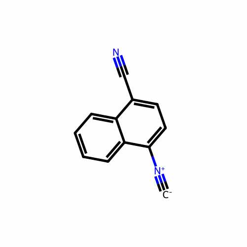 [C-]#[N+]c1ccc(C#N)c2ccccc12